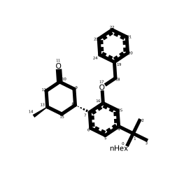 CCCCCCC(C)(C)c1ccc([C@H]2CC(=O)C[C@H](C)C2)c(OCc2ccccc2)c1